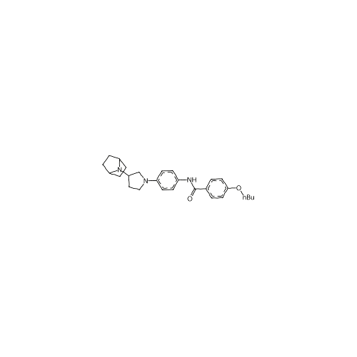 CCCCOc1ccc(C(=O)Nc2ccc(N3CCC(N4C5CCC4CC5)C3)cc2)cc1